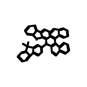 CC1(C)c2ccccc2-c2ccc(N(c3ccc4ccccc4c3-c3cccc4ccccc34)c3cccc4c3sc3ccccc34)cc21